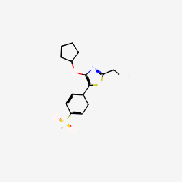 CCc1nc(OC2CCCC2)c(C2C=CC(S(C)(=O)=O)=CC2)s1